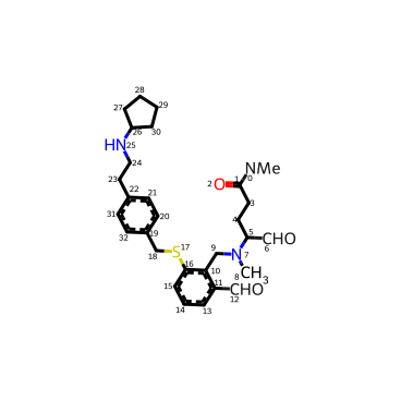 CNC(=O)CCC(C=O)N(C)Cc1c(C=O)cccc1SCc1ccc(CCNC2CCCC2)cc1